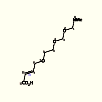 CNCOCOCCOC/C=C/C(=O)O